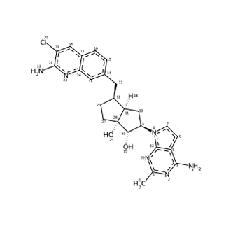 Cc1nc(N)c2ccn([C@@H]3C[C@@H]4[C@H](Cc5ccc6cc(Cl)c(N)nc6c5)CC[C@]4(O)[C@H]3O)c2n1